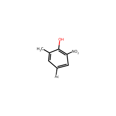 CC(=O)c1cc(C)c(O)c([N+](=O)[O-])c1